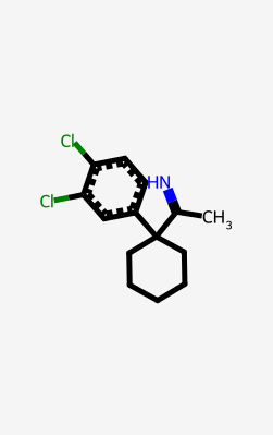 CC(=N)C1(c2ccc(Cl)c(Cl)c2)CCCCC1